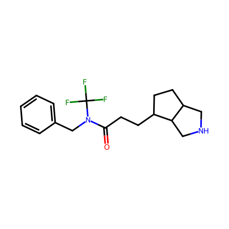 O=C(CCC1CCC2CNCC12)N(Cc1ccccc1)C(F)(F)F